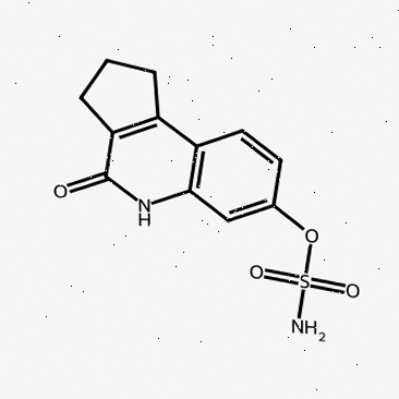 NS(=O)(=O)Oc1ccc2c3c(c(=O)[nH]c2c1)CCC3